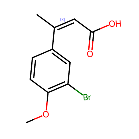 COc1ccc(/C(C)=C\C(=O)O)cc1Br